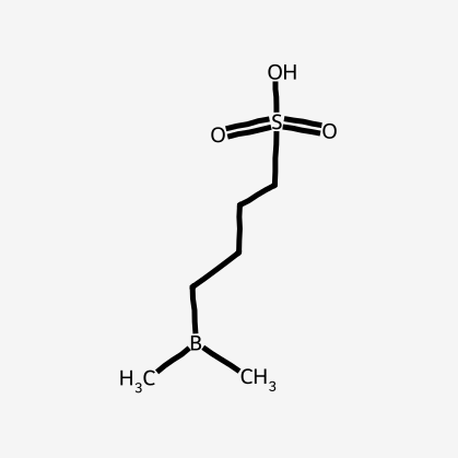 CB(C)CCCCS(=O)(=O)O